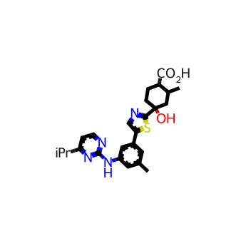 Cc1cc(Nc2nccc(C(C)C)n2)cc(-c2cnc(C3(O)CCC(C(=O)O)C(C)C3)s2)c1